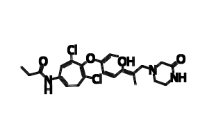 C\C=C(/C=C\C(O)=C(/C)CN1CCNC(=O)C1)OC1=C(Cl)CC=C(NC(=O)CC)C=C1Cl